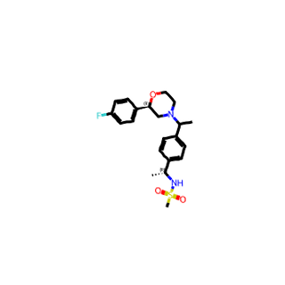 CC(c1ccc([C@@H](C)NS(C)(=O)=O)cc1)N1CCO[C@H](c2ccc(F)cc2)C1